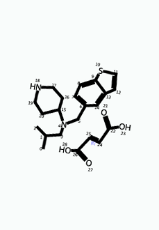 CC(C)CN(Cc1ccc2sccc2c1)C1CCNCC1.O=C(O)/C=C/C(=O)O